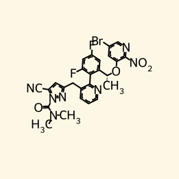 C[C@@H](Oc1cc(Br)cnc1[N+](=O)[O-])c1cc(F)cc(F)c1-c1ncccc1Cc1cc(C#N)n(C(=O)N(C)C)n1